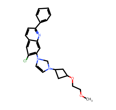 COCCOC1CC(N2C=CN(c3cc4nc(-c5ccccc5)ccc4cc3Cl)C2)C1